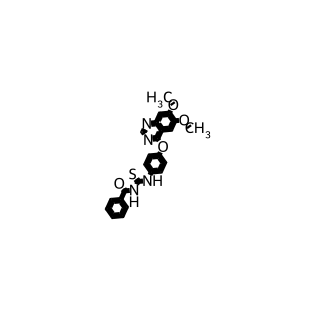 COc1cc2ncnc(Oc3ccc(NC(=S)NC(=O)c4ccccc4)cc3)c2cc1OC